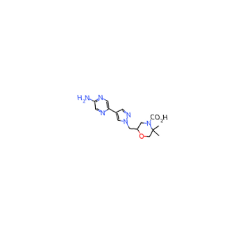 CC1(C)COC(Cn2cc(-c3cnc(N)cn3)cn2)CN1C(=O)O